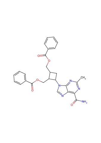 Cc1nc(C(N)=O)c2ncn(C3CC(COC(=O)c4ccccc4)C3COC(=O)c3ccccc3)c2n1